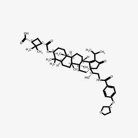 CC(C)C1=C2[C@H]3CC[C@@H]4[C@@]5(C)CC[C@H](OC(=O)[C@H]6C[C@@H](C(=O)O)C6(C)C)C(C)(C)[C@@H]5CC[C@@]4(C)[C@]3(C)CC[C@@]2([C@@H](O)CNC(=O)c2ccc(O[C@H]3CCOC3)cc2)CC1=O